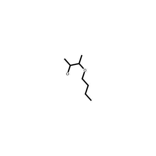 CCCCOC(C)C(C)[O]